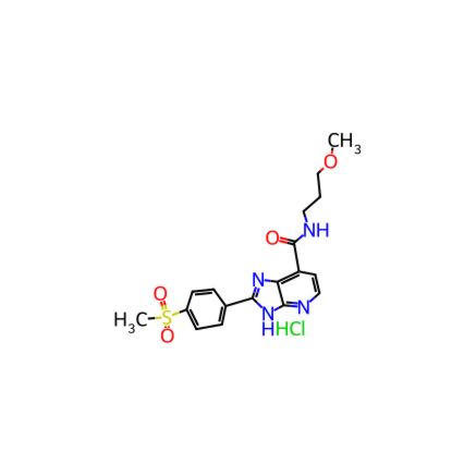 COCCCNC(=O)c1ccnc2[nH]c(-c3ccc(S(C)(=O)=O)cc3)nc12.Cl